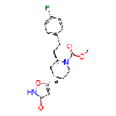 COC(=O)N1CC[C@H](c2cc(=O)[nH]o2)C[C@H]1CCc1ccc(F)cc1